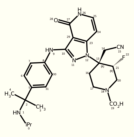 CC(C)NC(C)(C)c1ccc(Nc2nn([C@@]3(CC#N)CCN(C(=O)O)C[C@H]3F)c3cc[nH]c(=O)c23)cc1